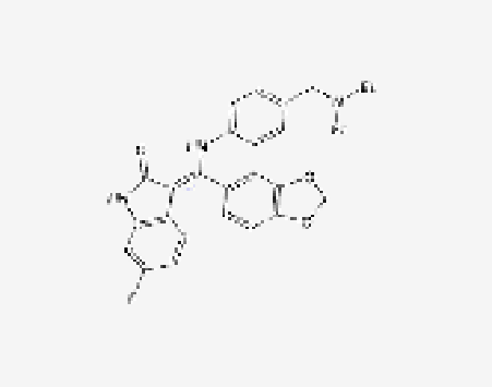 CCN(CC)Cc1ccc(N/C(=C2\C(=O)Nc3cc(F)ccc32)c2ccc3c(c2)OCO3)cc1